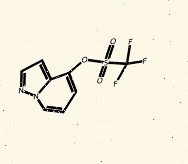 O=S(=O)(Oc1cccn2nccc12)C(F)(F)F